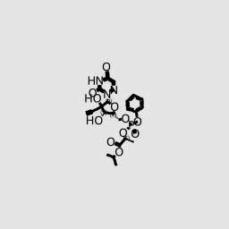 C#CC1(O)[C@@H](O)[C@@H](COP(=O)(Oc2ccccc2)O[C@@H](C)C(=O)OC(C)C)O[C@H]1n1ncc(=O)[nH]c1=O